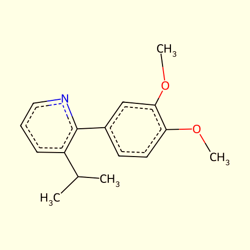 COc1ccc(-c2ncccc2C(C)C)cc1OC